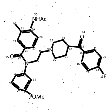 COc1cccc(N(CCN2CCC(C(=O)c3ccc(F)cc3)CC2)C(=O)c2ccc(NC(C)=O)c(C)c2)c1